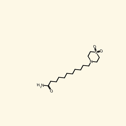 NC(=O)CCCCCCCCCCN1CCS(=O)(=O)CC1